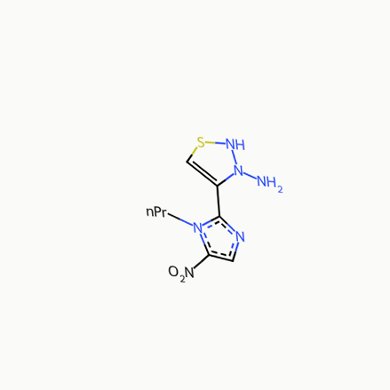 CCCn1c([N+](=O)[O-])cnc1C1=CSNN1N